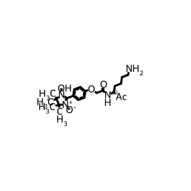 CC(=O)[C@H](CCCCN)NC(=O)COc1ccc(C2=[N+]([O-])C(C)(C)C(C)(C)N2O)cc1